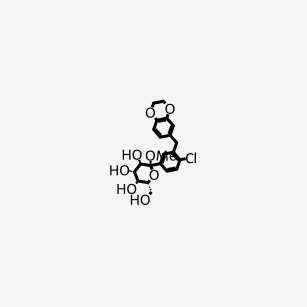 CO[C@@]1(c2ccc(Cl)c(Cc3ccc4c(c3)OCCO4)c2)O[C@H](CO)[C@@H](O)[C@H](O)[C@H]1O